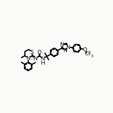 Cc1cccc(C)c1N1/C(=N/C(=O)NC(C)(C)c2ccc(-c3ncn(-c4ccc(OC(F)(F)F)cc4)n3)cc2)SCCC1C